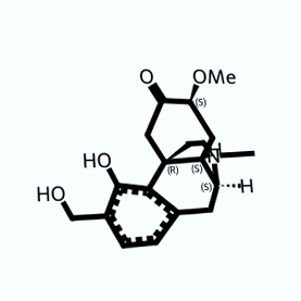 CO[C@H]1C[C@@H]2[C@@H]3Cc4ccc(CO)c(O)c4[C@]2(CCN3C)CC1=O